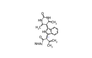 C=C1NC(=O)NC(=C)C1=c1[nH]/c(=C(/C(=C)C)C(=O)NC(C)=O)c2ccccc12